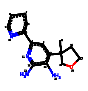 CC1(c2cc(-c3ccccn3)nc(N)c2N)CCOC1